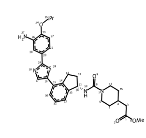 COC(=O)CC1CCN(C(=O)N[C@H]2CCc3c(-c4cnc(-c5ccc(OC(C)C)c(N)c5)s4)cccc32)CC1